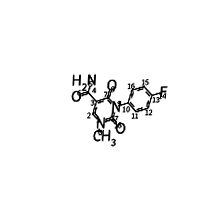 Cn1cc(C(N)=O)c(=O)n(-c2ccc(F)cc2)c1=O